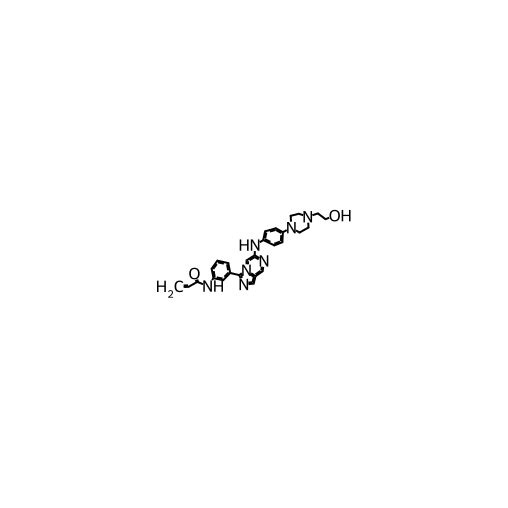 C=CC(=O)Nc1cccc(-c2ncc3cnc(Nc4ccc(N5CCN(CCO)CC5)cc4)cn23)c1